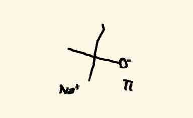 CC(C)(C)[O-].[Na+].[Ti]